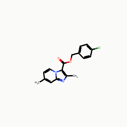 Cc1ccn2c(C(=O)OCc3ccc(Cl)cc3)c(C)nc2c1